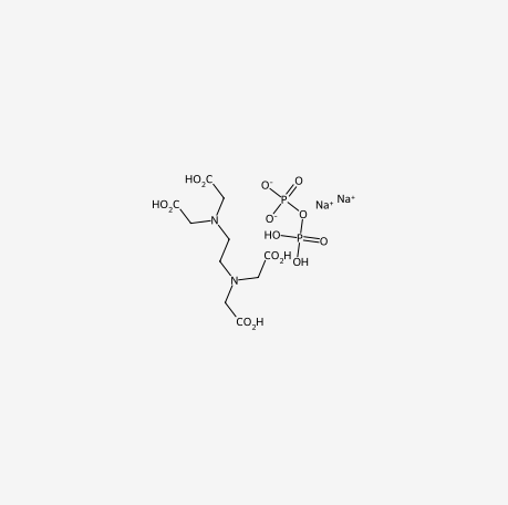 O=C(O)CN(CCN(CC(=O)O)CC(=O)O)CC(=O)O.O=P([O-])([O-])OP(=O)(O)O.[Na+].[Na+]